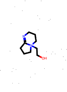 OCC[N+]12CCCN=C1CCC2